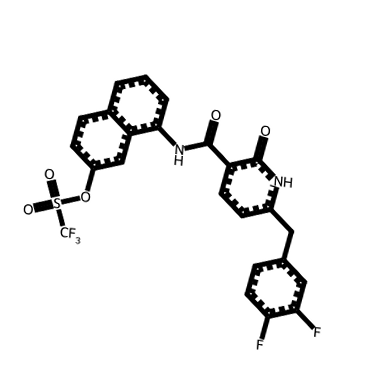 O=C(Nc1cccc2ccc(OS(=O)(=O)C(F)(F)F)cc12)c1ccc(Cc2ccc(F)c(F)c2)[nH]c1=O